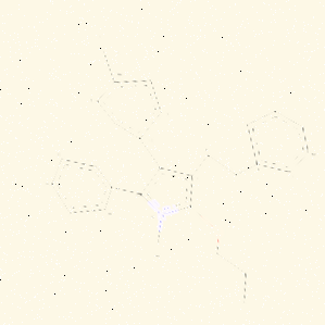 CCCOc1c(CCc2ccccc2)c(-c2ccc(C)cc2)c(-c2ccccc2)n1C